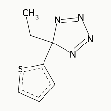 CCC1(c2cccs2)N=NN=N1